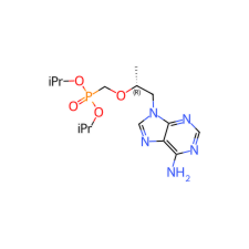 CC(C)OP(=O)(CO[C@H](C)Cn1cnc2c(N)ncnc21)OC(C)C